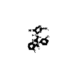 C[C@@H](Nc1nc(N)ncc1C#N)c1nc2cccc(Cl)c2c(=O)n1-c1cccc(C#N)c1